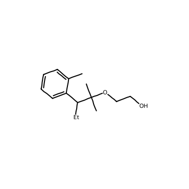 CCC(c1ccccc1C)C(C)(C)OCCO